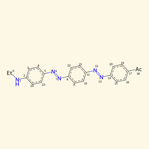 CCNc1ccc(N=Nc2ccc(N=Nc3ccc(C(C)=O)cc3)cc2)cc1